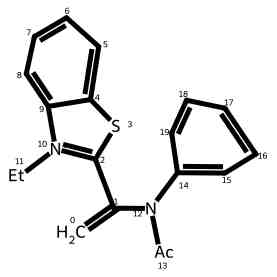 C=C(c1sc2ccccc2[n+]1CC)N(C(C)=O)c1ccccc1